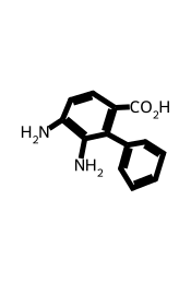 Nc1ccc(C(=O)O)c(-c2ccccc2)c1N